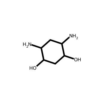 NC1CC(N)C(O)CC1O